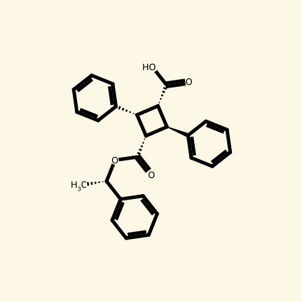 C[C@H](OC(=O)[C@H]1[C@H](c2ccccc2)[C@@H](C(=O)O)[C@H]1c1ccccc1)c1ccccc1